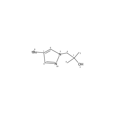 CC(C)(O)Cn1cc(C(C)(C)C)cn1